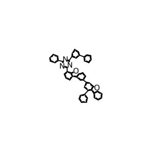 c1ccc(-c2cccc(-c3nc(-c4ccccc4)nc(-c4cccc5c4oc4ccc(-c6cc(-c7ccccc7)c7c(c6)oc6ccccc67)cc45)n3)c2)cc1